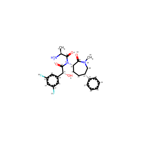 C[C@H](N)C(=O)N(C(=O)[C@H](O)c1cc(F)cc(F)c1)[C@H]1CC[C@@H](c2ccccc2)CN(C)C1=O